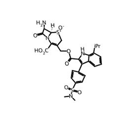 CC(C)c1cccc2c(-c3ccc(S(=O)(=O)N(C)C)cc3)c(C(=O)OCC3=C(C(=O)O)N4C(=O)[C@@H](N)[C@H]4[S+]([O-])C3)[nH]c12